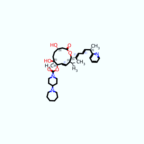 C/C(=C\C=C\[C@H](C)c1ccccn1)[C@H]1OC(=O)C[C@@H](O)CC[C@](C)(O)[C@H](OC(=O)N2CCC(N3CCCCCC3)CC2)/C=C/[C@@H]1C